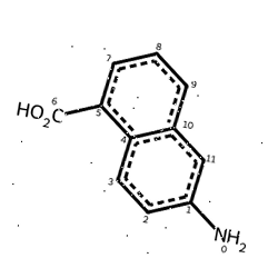 Nc1ccc2c(C(=O)O)cccc2c1